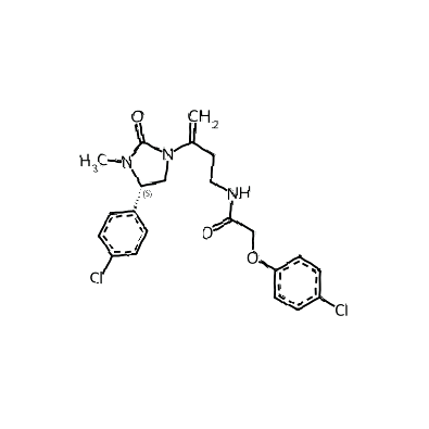 C=C(CCNC(=O)COc1ccc(Cl)cc1)N1C[C@H](c2ccc(Cl)cc2)N(C)C1=O